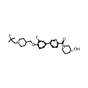 CC(C)(F)CN1CCC(COc2ccc(-c3ccc(C(=O)N4CCC[C@@H](O)C4)nc3)cc2F)CC1